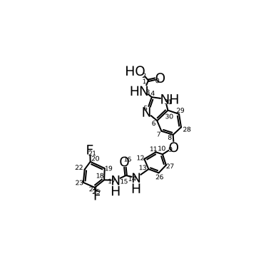 O=C(O)Nc1nc2cc(Oc3ccc(NC(=O)Nc4cc(F)ccc4F)cc3)ccc2[nH]1